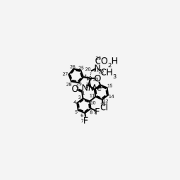 CNC(=O)c1ccc(F)c(F)c1-c1c(Cl)ccc2c1C[C@@](CN(C)C(=O)O)(c1ccccc1)O2